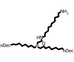 CCCCCCCCCCCCCCCCCCN(CCCCCCCCCCCCCCCCCC)CC(=O)NCCCCCCCCCCN